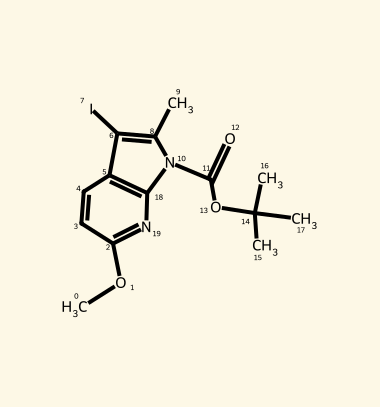 COc1ccc2c(I)c(C)n(C(=O)OC(C)(C)C)c2n1